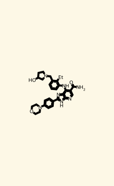 CCc1c(CN2CCC(O)C2)cccc1Nc1c(C(N)=O)cnc2[nH]c(-c3ccc(N4CCOCC4)cc3)nc12